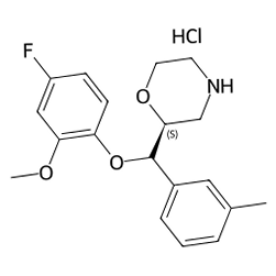 COc1cc(F)ccc1OC(c1cccc(C)c1)[C@@H]1CNCCO1.Cl